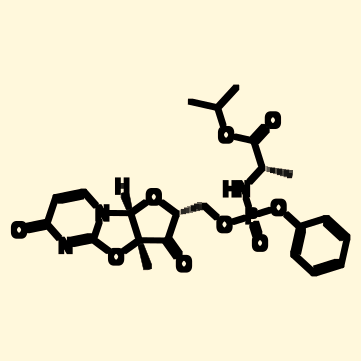 CC(C)OC(=O)[C@H](C)NP(=O)(OC[C@H]1O[C@H]2n3ccc(=O)nc3O[C@@]2(C)C1=O)Oc1ccccc1